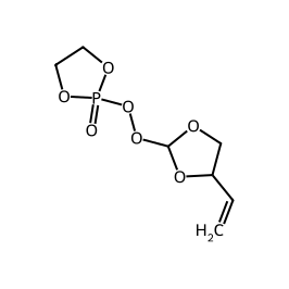 C=CC1COC(OOP2(=O)OCCO2)O1